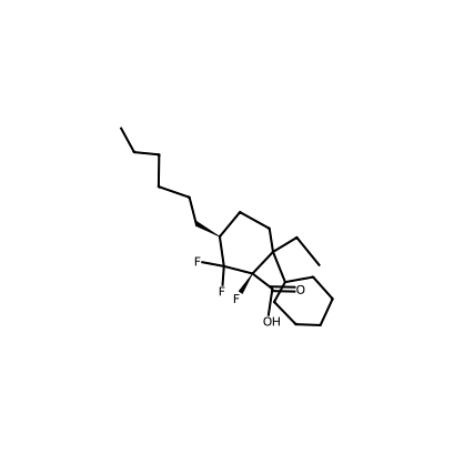 CCCCCC[C@H]1CCC(CC)(C2CCCCC2)[C@](F)(C(=O)O)C1(F)F